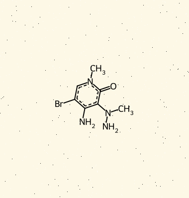 CN(N)c1c(N)c(Br)cn(C)c1=O